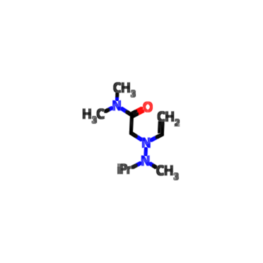 C=CN(CC(=O)N(C)C)N(C)C(C)C